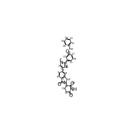 Cn1cc(-c2ccc3c(c2)CN(C2CCC(=O)NC2=O)C3=O)nc1-c1cccc(OCc2ccccc2)c1